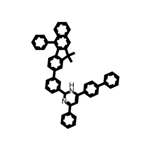 CC1(C)c2cc(-c3cccc(C4N=C(c5ccccc5)C=C(c5ccc(-c6ccccc6)cc5)N4)c3)ccc2-c2c1cc1ccccc1c2-c1ccccc1